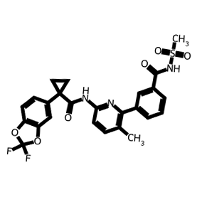 Cc1ccc(NC(=O)C2(c3ccc4c(c3)OC(F)(F)O4)CC2)nc1-c1cccc(C(=O)NS(C)(=O)=O)c1